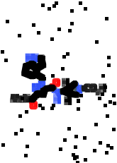 CNC(=O)c1cc(C(=O)NC2[C@H]3CN(C(=O)O)C[C@@H]23)n(Cc2cccc3[nH]ccc23)n1